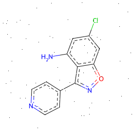 Nc1cc(Cl)cc2onc(-c3ccncc3)c12